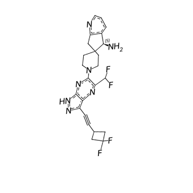 N[C@@H]1c2cccnc2CC12CCN(c1nc3[nH]nc(C#CC4CC(F)(F)C4)c3nc1C(F)F)CC2